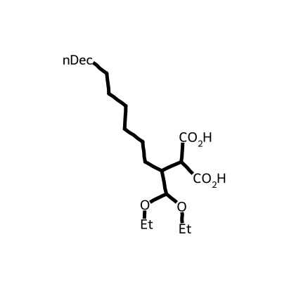 CCCCCCCCCCCCCCCCC(C(OCC)OCC)C(C(=O)O)C(=O)O